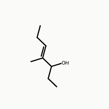 CC/C=C(\C)C(O)CC